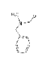 CN(C[O])Cc1ccccc1